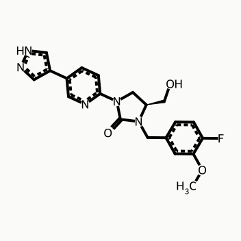 COc1cc(CN2C(=O)N(c3ccc(-c4cn[nH]c4)cn3)C[C@H]2CO)ccc1F